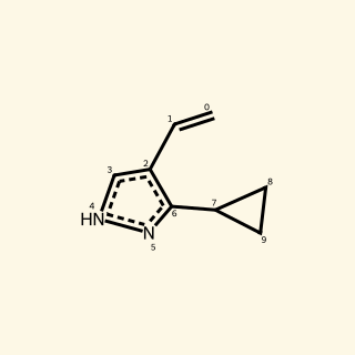 C=Cc1c[nH]nc1C1CC1